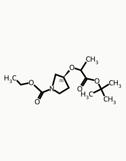 CCOC(=O)N1CC[C@H](OC(C)C(=O)OC(C)(C)C)C1